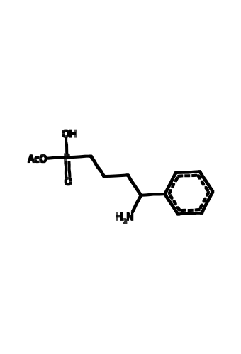 CC(=O)OP(=O)(O)CCCC(N)c1ccccc1